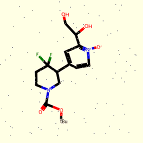 CC(C)(C)OC(=O)N1CCC(F)(F)C(c2cc[n+]([O-])c(C(O)CO)c2)C1